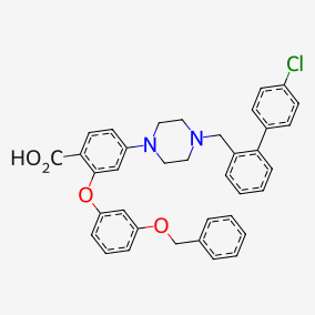 O=C(O)c1ccc(N2CCN(Cc3ccccc3-c3ccc(Cl)cc3)CC2)cc1Oc1cccc(OCc2ccccc2)c1